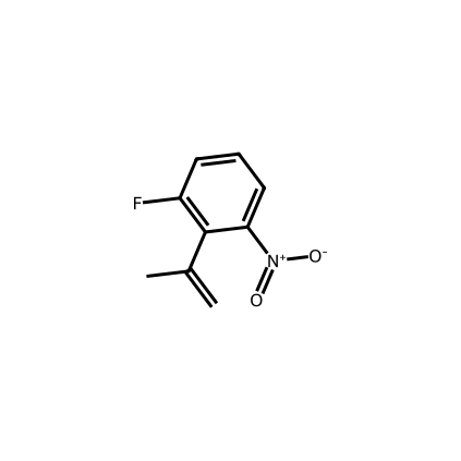 C=C(C)c1c(F)cccc1[N+](=O)[O-]